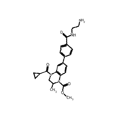 COC(=O)N1c2ccc(-c3ccc(C(=O)NCCN)cc3)cc2N(C(=O)C2CC2)CC1C